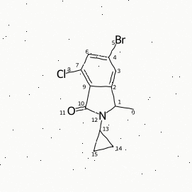 CC1c2cc(Br)cc(Cl)c2C(=O)N1C1CC1